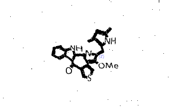 COC1=CC(C2Nc3ccccc3C2C(=O)c2ccsc2)=N/C1=C\c1[nH]c(C)cc1C